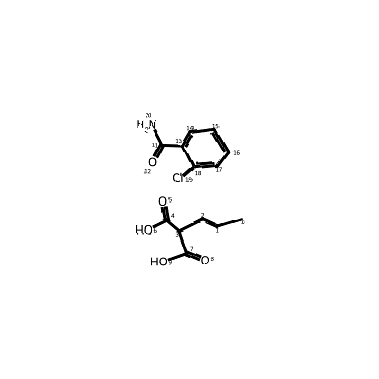 CCCC(C(=O)O)C(=O)O.NC(=O)c1ccccc1Cl